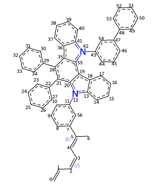 C=C/C=C\C=C(/C)c1cccc(-n2c3ccccc3c3c2c(-c2ccccc2)c(-c2ccccc2)c2c4ccccc4n(-c4cccc(-c5ccccc5)c4)c23)c1